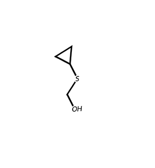 OCSC1CC1